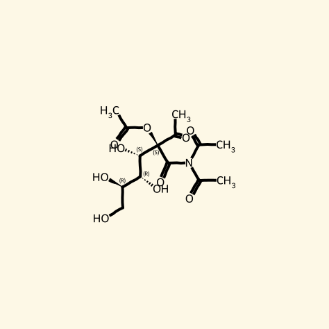 CC(=O)O[C@@](C(C)=O)(C(=O)N(C(C)=O)C(C)=O)[C@@H](O)[C@H](O)[C@H](O)CO